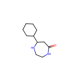 O=C1CC(C2CCCCC2)NCCN1